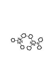 c1ccc(-c2nc(-c3cccc(-c4cccc(-c5nc(-c6ccccc6)nc(-c6ccccc6)n5)c4)c3)cc(N(c3ccccc3)c3ccccc3)n2)cc1